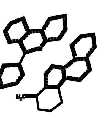 C=C1CCCc2c1ccc1c2ccc2ccccc21.c1ccc(-c2nc3ccccc3c3ccccc23)cc1